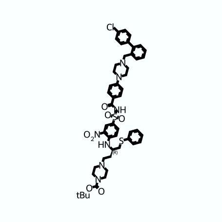 CC(C)(C)OC(=O)N1CCN(CC[C@H](CSc2ccccc2)Nc2ccc(S(=O)(=O)NC(=O)c3ccc(N4CCN(Cc5ccccc5-c5ccc(Cl)cc5)CC4)cc3)cc2[N+](=O)[O-])CC1